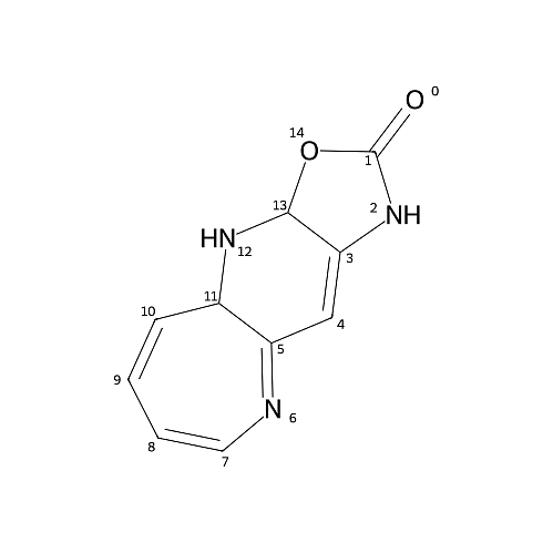 O=C1NC2=CC3=NC=CC=CC3NC2O1